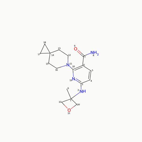 CC1(Nc2ccc(C(N)=O)c(N3CCC4(CC3)CC4)n2)COC1